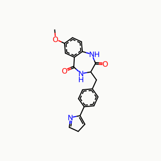 COc1ccc2c(c1)C(=O)NC(Cc1ccc(C3=CCC=N3)cc1)C(=O)N2